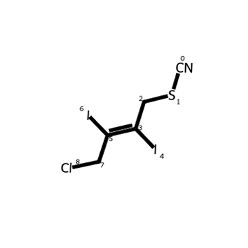 N#CSCC(I)=C(I)CCl